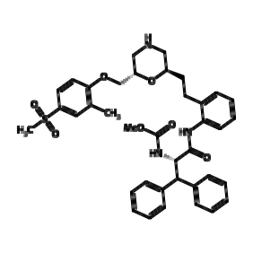 COC(=O)N[C@H](C(=O)Nc1ccccc1CC[C@@H]1CNC[C@@H](COc2ccc(S(C)(=O)=O)cc2C)O1)C(c1ccccc1)c1ccccc1